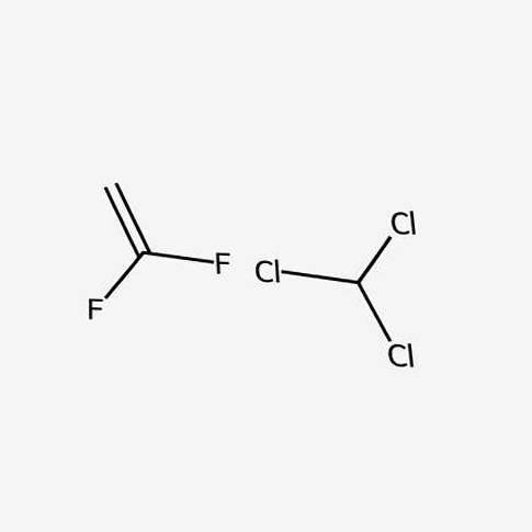 C=C(F)F.ClC(Cl)Cl